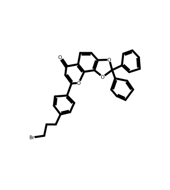 O=c1cc(-c2ccc(CCCBr)cc2)oc2c3c(ccc12)OC(c1ccccc1)(c1ccccc1)O3